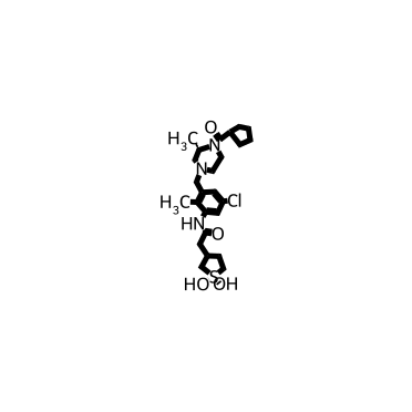 Cc1c(CN2CCN(C(=O)C3CCCC3)[C@@H](C)C2)cc(Cl)cc1NC(=O)CC1CCS(O)(O)C1